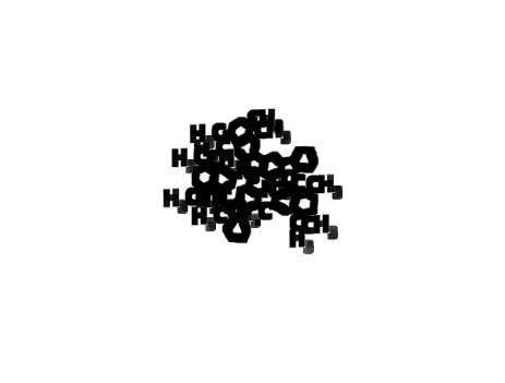 Cc1cc2c(cc1N1c3cc4c(cc3B3c5c(cc6c(oc7ccccc76)c51)-c1cc5c(cc1N3c1ccc3c(c1)C(C)(C)CCC3(C)C)C(C)(C)CCC5(C)C)C(C)(C)c1ccccc1-4)C(C)(C)CCC2(C)C